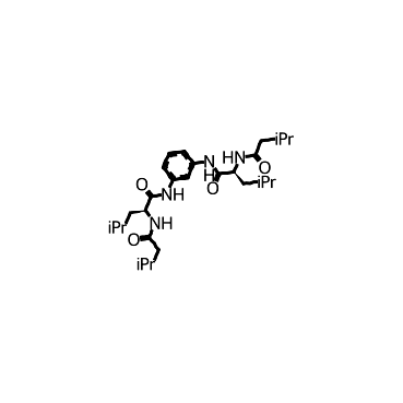 CC(C)CC(=O)N[C@@H](CC(C)C)C(=O)Nc1cccc(NC(=O)[C@H](CC(C)C)NC(=O)CC(C)C)c1